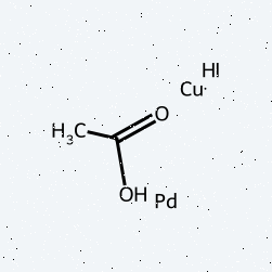 CC(=O)O.I.[Cu].[Pd]